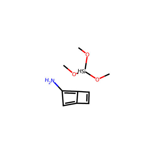 CO[SiH](OC)OC.Nc1cc2ccc1-2